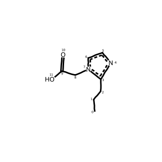 CCCc1nccn1CC(=O)O